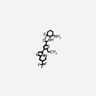 CCc1sc(C(=O)N[C@@H]2[C@H](N)CCCC2(F)F)cc1-c1cnc2cc(C(F)(F)F)cnn12